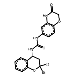 CCC1(CC)C[C@@H](NC(=O)Nc2ccc3c(c2)NC(=O)CO3)c2ccccc2O1